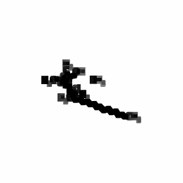 CCCCCCCCCCCCCCCCC(C)C(C)(Cl)CCC[Si](OCC)(OCC)OCCO.N